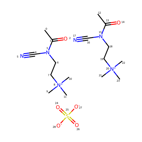 CC(=O)N(C#N)CC[N+](C)(C)C.CC(=O)N(C#N)CC[N+](C)(C)C.O=S(=O)([O-])[O-]